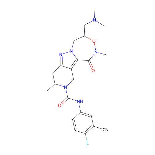 CC1Cc2nn3c(c2CN1C(=O)Nc1ccc(F)c(C#N)c1)C(=O)N(C)OC(CN(C)C)C3